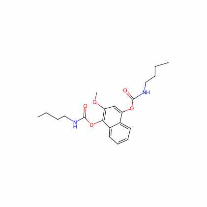 CCCCNC(=O)Oc1cc(OC)c(OC(=O)NCCCC)c2ccccc12